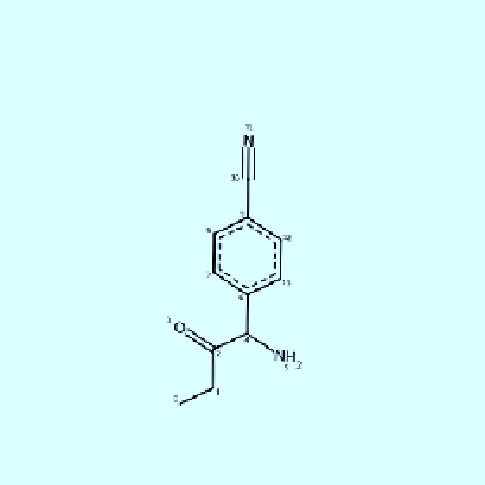 CCC(=O)C(N)c1ccc(C#N)cc1